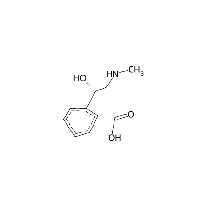 CNC[C@@H](O)c1ccccc1.O=CO